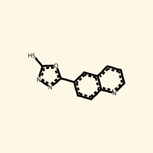 Sc1nnc(-c2ccc3ncccc3c2)o1